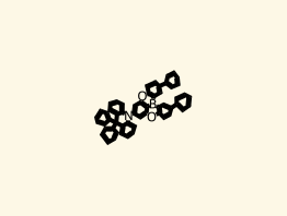 c1ccc(-c2ccc3c(c2)B2c4cc(-c5ccccc5)ccc4Oc4cc(N5c6ccccc6C(c6ccccc6)(c6ccccc6)c6ccccc65)cc(c42)O3)cc1